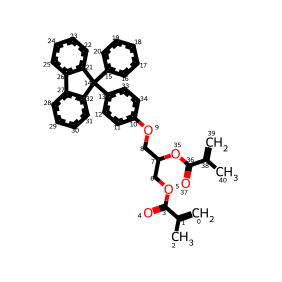 C=C(C)C(=O)OCC(COc1ccc(C2(c3ccccc3)c3ccccc3-c3ccccc32)cc1)OC(=O)C(=C)C